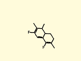 CC1=C(F)C2=CC(F)=C(C)C(C)C2CC1